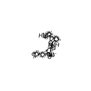 O=C(NS(=O)(=O)c1ccc(NC2CCN(C3CCOCC3)CC2)c([N+](=O)[O-])c1)c1ccccc1Oc1cccc2[nH]ccc12